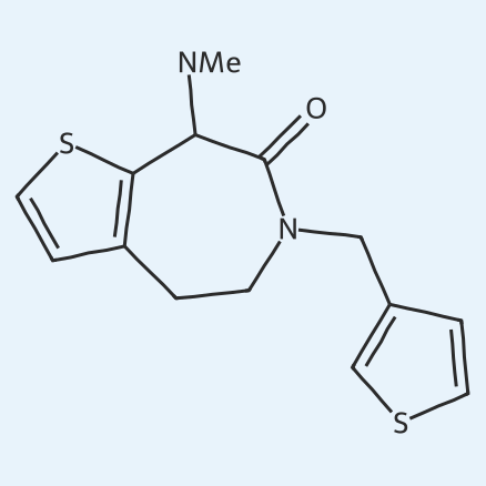 CNC1C(=O)N(Cc2ccsc2)CCc2ccsc21